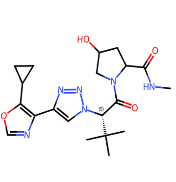 CNC(=O)C1CC(O)CN1C(=O)[C@@H](n1cc(-c2ncoc2C2CC2)nn1)C(C)(C)C